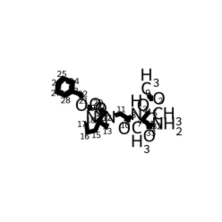 CC(=O)O[C@H](C)[C@@](C)(NC(=O)CN1CC2(CCCN2C(=O)OCc2ccccc2)C1=O)C(N)=O